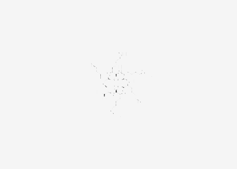 CN[C@@H](CCCCN)C(=O)NC(CCCCN)C(=O)N[C@@H](CCCCN)C(=O)NC(CCCCN)C(=O)N[C@@H](CCCCN)C(=O)NCC(=O)O